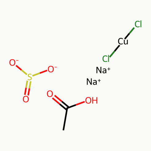 CC(=O)O.O=S([O-])[O-].[Cl][Cu][Cl].[Na+].[Na+]